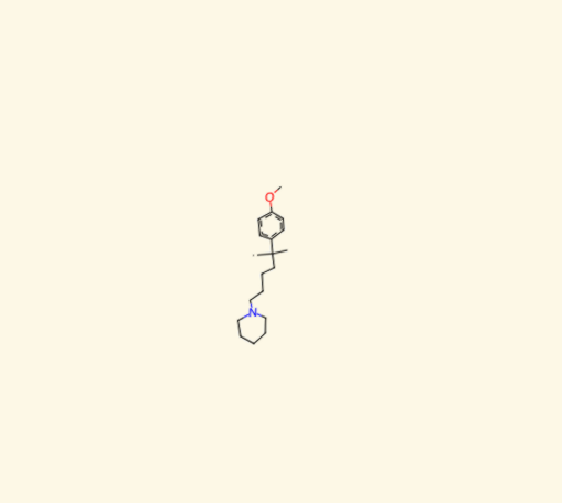 [CH2]C(C)(CCCCN1CCCCC1)c1ccc(OC)cc1